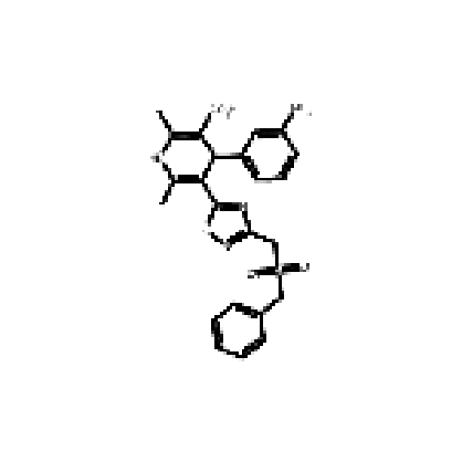 CC1=C(C(=O)O)C(c2cccc([N+](=O)[O-])c2)C(c2nc(CS(=O)(=O)Cc3ccccc3)no2)=C(C)N1